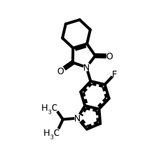 CC(C)n1ccc2cc(F)c(N3C(=O)C4=C(CCCC4)C3=O)cc21